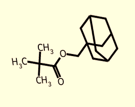 CC(C)(C)C(=O)OCC12CC3CC(CC(C3)C1)C2